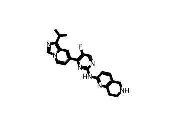 CC(C)c1ncn2ccc(-c3nc(Nc4ccc5c(n4)CCNC5)ncc3F)cc12